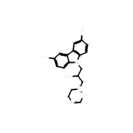 OC(CN1CCNCS1)Cn1c2ccc(F)cc2c2cc(F)ccc21